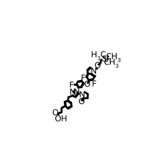 C[Si](C)(C)CCOCn1ccc2c(F)c(Oc3ccc(F)c(-n4nc(Cc5cccc(CCC(=O)O)c5)cc4N4CCCC4=O)c3)c(F)cc21